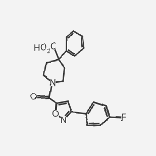 O=C(c1cc(-c2ccc(F)cc2)no1)N1CCC(C(=O)O)(c2ccccc2)CC1